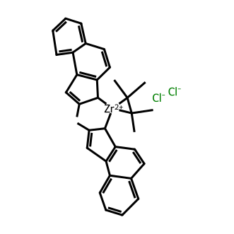 CC1=Cc2c(ccc3ccccc23)[CH]1[Zr+2]1([CH]2C(C)=Cc3c2ccc2ccccc32)[C](C)(C)[C]1(C)C.[Cl-].[Cl-]